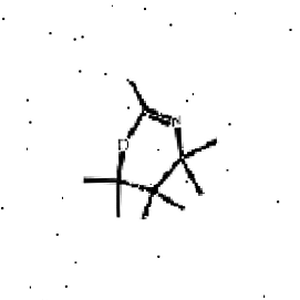 CC1=NC(C)(C)C(C)(C)C(C)(C)O1